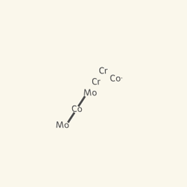 [Co].[Cr].[Cr].[Mo][Co][Mo]